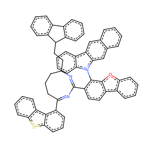 c1ccc2c(c1)-c1ccccc1C2CCC1CCC/C(c2cccc3sc4ccccc4c23)=N\C(c2ccc3c(oc4ccccc43)c2-n2c3ccccc3c3cc4ccccc4cc32)=N/1